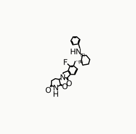 O=C1CCC(N2Cc3c(ccc(C[C@H]4CCCC[C@@H]4NCc4ccccc4)c3F)C2=O)C(=O)N1